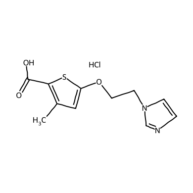 Cc1cc(OCCn2ccnc2)sc1C(=O)O.Cl